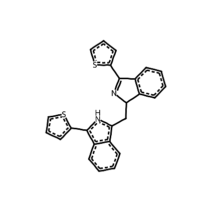 c1csc(C2=NC(Cc3[nH]c(-c4cccs4)c4ccccc34)c3ccccc32)c1